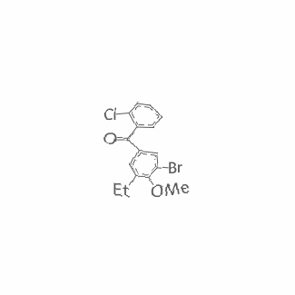 CCc1cc(C(=O)c2ccccc2Cl)cc(Br)c1OC